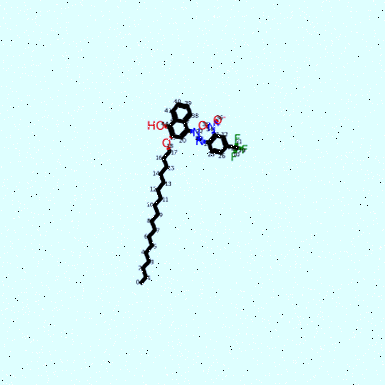 CCCCCCCCCCCCCCCCCCOc1cc(N=Nc2ccc(C(F)(F)F)cc2[N+](=O)[O-])c2ccccc2c1O